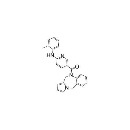 Cc1ccccc1Nc1ccc(C(=O)N2Cc3cccn3Cc3ccccc32)cn1